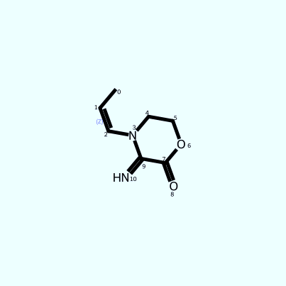 C/C=C\N1CCOC(=O)C1=N